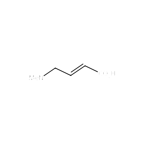 CNCC=CC(=O)O